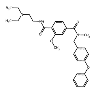 CCN(CC)CCNC(=O)c1ccc(C(=O)N(C)Cc2ccc(Oc3ccccc3)cc2)cc1OC